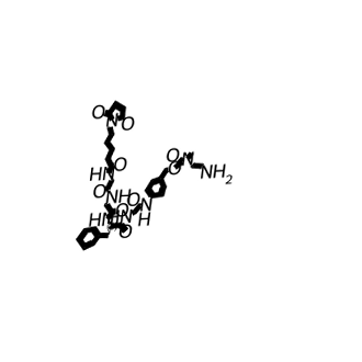 CN(CCN)C(=O)OCc1ccc(NC(=O)CNC(=O)[C@H](Cc2ccccc2)NC(=O)CNC(=O)CNC(=O)CCCCCN2C(=O)C=CC2=O)cc1